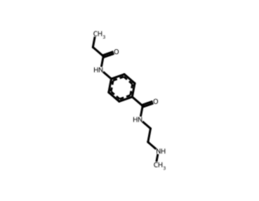 CCC(=O)Nc1ccc(C(=O)NCCNC)cc1